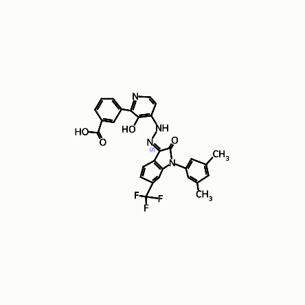 Cc1cc(C)cc(N2C(=O)/C(=N\Nc3ccnc(-c4cccc(C(=O)O)c4)c3O)c3ccc(C(F)(F)F)cc32)c1